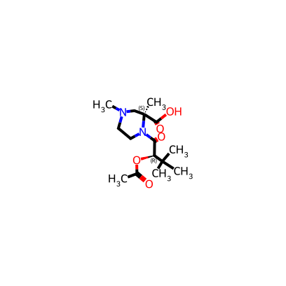 CC(=O)O[C@@H](C(=O)N1CCN(C)C[C@@]1(C)C(=O)O)C(C)(C)C